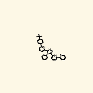 CC(C)(C)c1ccc(-c2cccc(-c3nnc(-c4cccc(-c5ccccn5)n4)n3-c3ccccc3)n2)cc1